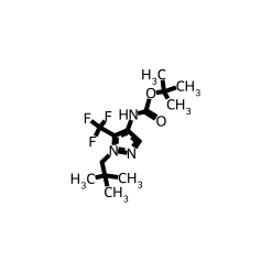 CC(C)(C)Cn1ncc(NC(=O)OC(C)(C)C)c1C(F)(F)F